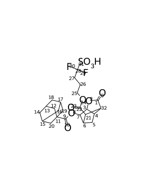 O=C1OC2C3CC(C2OC(=O)C24CC5CC(CC(C5)C2)C4)C(C(=O)OCCCC(F)(F)S(=O)(=O)O)C13